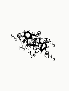 COc1cc(OC)c(C(O)CS(=O)(=O)Cc2ccc(OC)c(NC(C)C(=O)O)c2)c(OC)c1